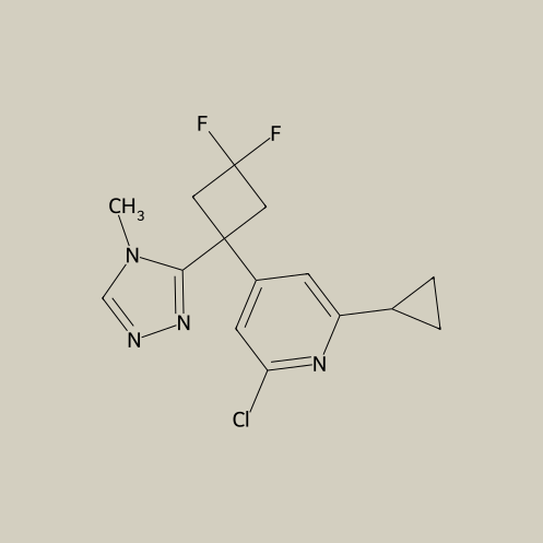 Cn1cnnc1C1(c2cc(Cl)nc(C3CC3)c2)CC(F)(F)C1